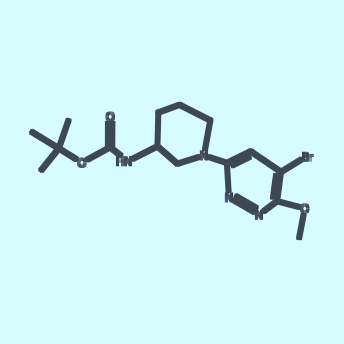 COc1nnc(N2CCCC(NC(=O)OC(C)(C)C)C2)cc1Br